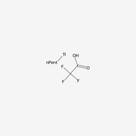 CCCC[CH2][Tl].O=C(O)C(F)(F)F